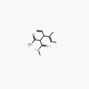 C=CC(/C(C)=C/C)C(C(=O)O)C(=O)OC